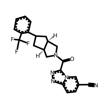 N#Cc1ccc2nnc(C(=O)N3C[C@H]4CC(c5ccccc5C(F)(F)F)C[C@H]4C3)n2c1